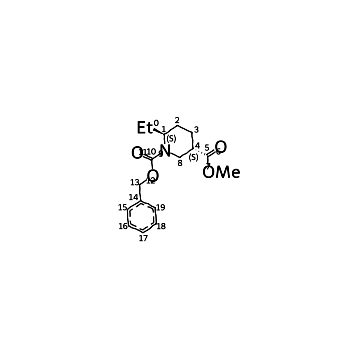 CC[C@H]1CC[C@H](C(=O)OC)CN1C(=O)OCc1ccccc1